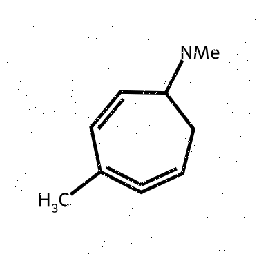 CNC1C=CC(C)=C=CC1